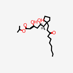 CCCCCCCC(=O)CCC1([C@@H](C)[C@H](O)CC(O)=CC(=O)OC(C)C)CCCC1